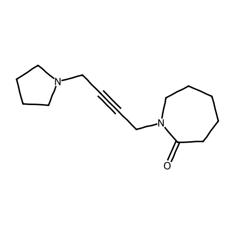 O=C1CCCCCN1CC#CCN1CCCC1